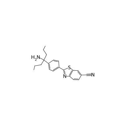 CCCC(N)(CCC)c1ccc(-c2nc3ccc(C#N)cc3s2)cc1